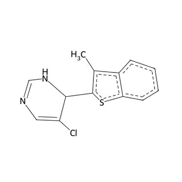 Cc1c(C2NC=NC=C2Cl)sc2ccccc12